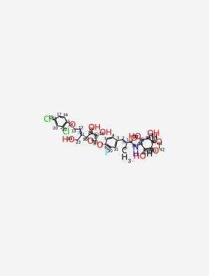 C/C(=C\c1ccc(O[C@@H]2O[C@H](/C(=C/COc3ccc(Cl)cc3Cl)CO)[C@@H](O)[C@@H]2O)c(F)c1)C(=O)N[C@@H]1[C@H](O)[C@@H](O)[C@H]2OCO[C@H]2[C@@H]1O